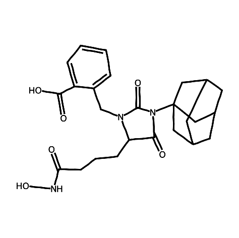 O=C(CCCC1C(=O)N(C23CC4CC(CC(C4)C2)C3)C(=O)N1Cc1ccccc1C(=O)O)NO